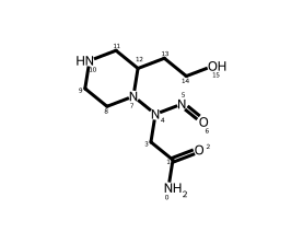 NC(=O)CN(N=O)N1CCNCC1CCO